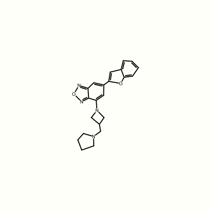 c1ccc2oc(-c3cc(N4CC(CN5CCCC5)C4)c4nonc4c3)cc2c1